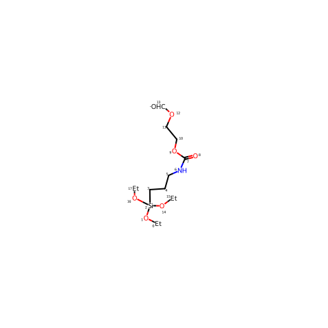 CCO[Si](CCCNC(=O)OCCO[C]=O)(OCC)OCC